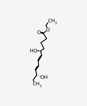 CCOC(=O)CCC[C@H](O)/C=C/C=C/[C@H](O)CC